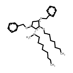 CCCCCCCCN(C)[C@H]1[C@H](OCCCCCCC)[C@H](OCc2ccccc2)C[C@@H]1OCc1ccccc1